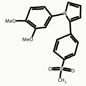 COc1ccc(-n2cccc2-c2ccc(S(C)(=O)=O)cc2)cc1OC